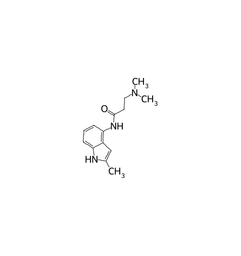 Cc1cc2c(NC(=O)CCN(C)C)cccc2[nH]1